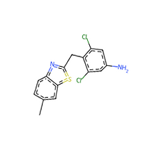 Cc1ccc2nc(Cc3c(Cl)cc(N)cc3Cl)sc2c1